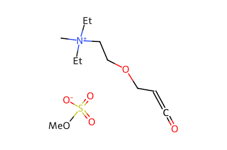 CC[N+](C)(CC)CCOCC=C=O.COS(=O)(=O)[O-]